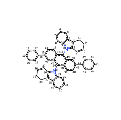 C1=Cc2c(c3ccccc3n2-c2c3ccc(-c4ccccc4)cc3c(-n3c4c(c5ccccc53)CCC=C4)c3ccc(-c4ccccc4)cc23)CC1